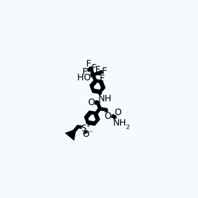 NC(=O)OCC(C(=O)Nc1ccc(C(O)(C(F)(F)F)C(F)(F)F)cc1)c1ccc([S+]([O-])CC2CC2)cc1